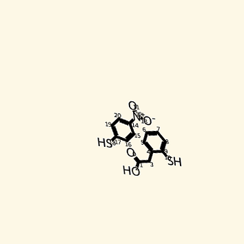 O=C(O)Cc1ccccc1S.O=[N+]([O-])c1ccc(S)cc1